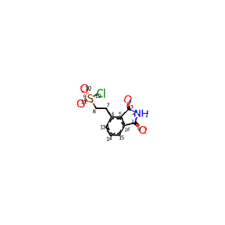 O=C1NC(=O)c2c(CCS(=O)(=O)Cl)cccc21